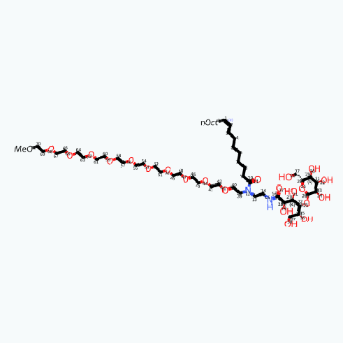 CCCCCCCC/C=C\CCCCCCCC(=O)N(CCNC(=O)[C@H](O)[C@@H](O)[C@H](O[C@H]1O[C@H](CO)[C@@H](O)[C@@H](O)[C@H]1O)[C@H](O)CO)CCOCCOCCOCCOCCOCCOCCOCCOCCOCCOCCOC